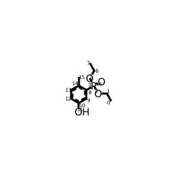 CCOP(=O)(OCC)c1cc(O)ccc1C